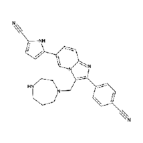 N#Cc1ccc(-c2nc3ccc(-c4ccc(C#N)[nH]4)cn3c2CN2CCCNCC2)cc1